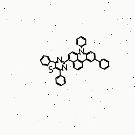 c1ccc(-c2ccc3c(c2)-c2cccc4c(-c5nc(-c6ccccc6)c6sc7ccccc7c6n5)ccc(c24)N3c2ccccc2)cc1